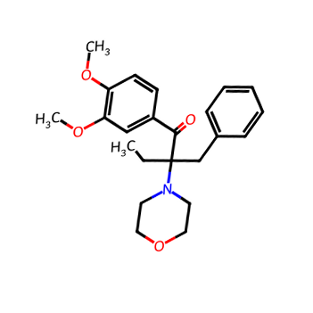 CCC(Cc1ccccc1)(C(=O)c1ccc(OC)c(OC)c1)N1CCOCC1